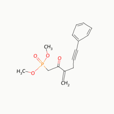 C=C(CC#Cc1ccccc1)C(=O)CP(=O)(OC)OC